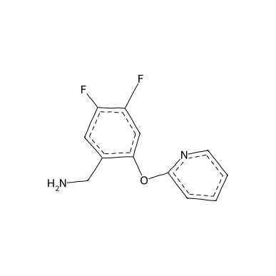 NCc1cc(F)c(F)cc1Oc1ccccn1